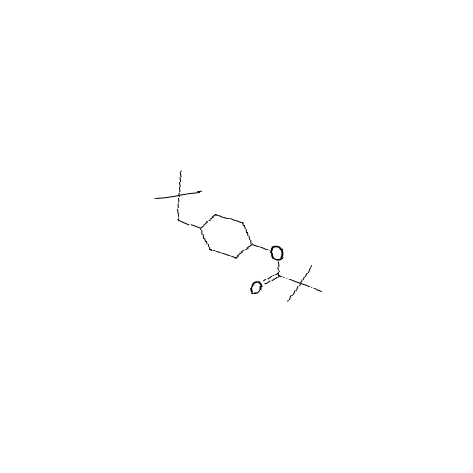 CC(C)(C)CC1CCC(OC(=O)C(C)(C)C)CC1